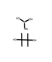 CC(C)(O)C(C)(C)O.CCCCB(O)O